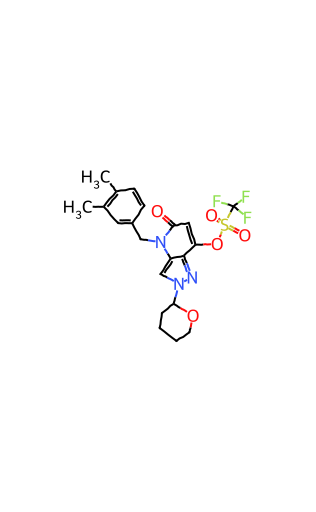 Cc1ccc(Cn2c(=O)cc(OS(=O)(=O)C(F)(F)F)c3nn(C4CCCCO4)cc32)cc1C